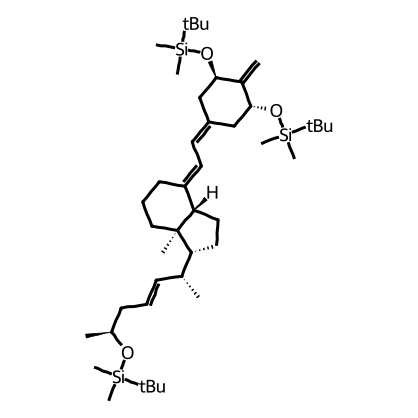 C=C1[C@H](O[Si](C)(C)C(C)(C)C)CC(=C/C=C2\CCC[C@]3(C)[C@@H]([C@H](C)/C=C/C[C@H](C)O[Si](C)(C)C(C)(C)C)CC[C@@H]23)C[C@H]1O[Si](C)(C)C(C)(C)C